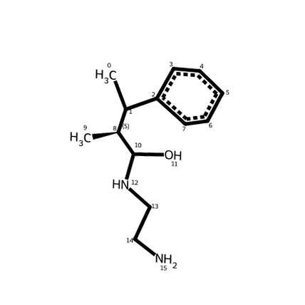 CC(c1ccccc1)[C@H](C)C(O)NCCN